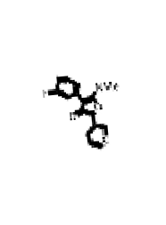 CNC1=C(c2cccc(F)c2)C(=O)C(C2CC=COC2)O1